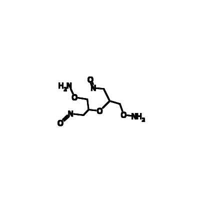 NOCC(CN=O)OC(CN=O)CON